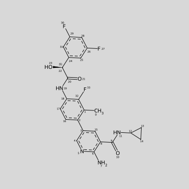 Cc1c(-c2cnc(N)c(C(=O)NC3CC3)c2)ccc(NC(=O)[C@@H](O)c2cc(F)cc(F)c2)c1F